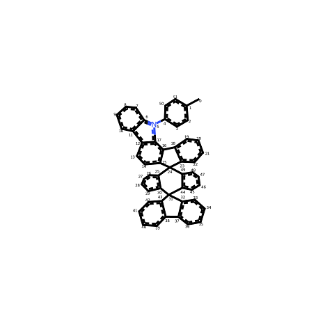 Cc1ccc(-n2c3ccccc3c3ccc4c(c32)-c2ccccc2C42c3ccccc3C3(c4ccccc4-c4ccccc43)c3ccccc32)cc1